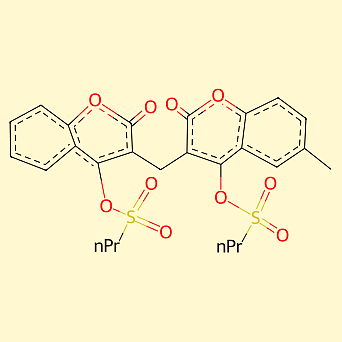 CCCS(=O)(=O)Oc1c(Cc2c(OS(=O)(=O)CCC)c3cc(C)ccc3oc2=O)c(=O)oc2ccccc12